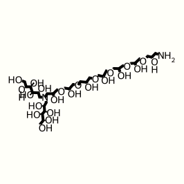 NCC(O)COCC(O)COCC(O)COCC(O)COCC(O)COCC(O)COCC(O)CN(C[C@H](O)[C@@H](O)[C@H](O)[C@H](O)CO)C[C@H](O)[C@@H](O)[C@H](O)[C@H](O)CO